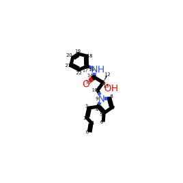 C=C/C=C\c1c(C)ccn1C[C@](C)(O)C(=O)Nc1ccccc1